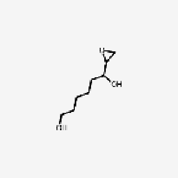 OCCCCCC(O)C1CO1